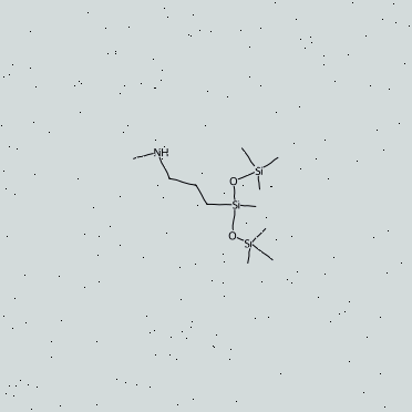 CNCCC[Si](C)(O[Si](C)(C)C)O[Si](C)(C)C